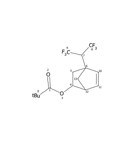 CC(C)(C)C(=O)OC1CC2(C(C(F)(F)F)C(F)(F)F)C=CC1C2